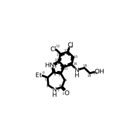 CCC1CNC(=O)Cc2c1[nH]c1c(Cl)c(Cl)cc(NCCO)c21